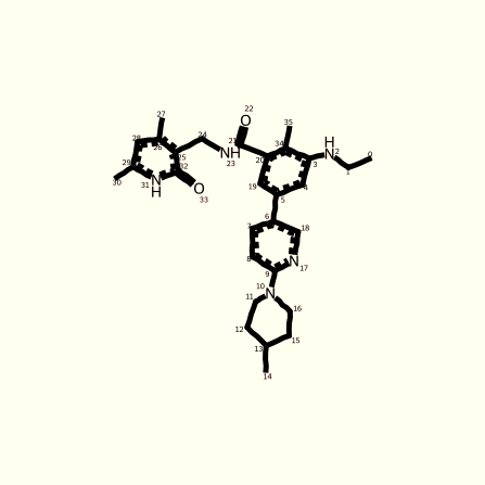 CCNc1cc(-c2ccc(N3CCC(C)CC3)nc2)cc(C(=O)NCc2c(C)cc(C)[nH]c2=O)c1C